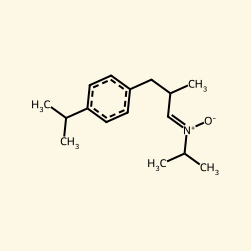 CC(C=[N+]([O-])C(C)C)Cc1ccc(C(C)C)cc1